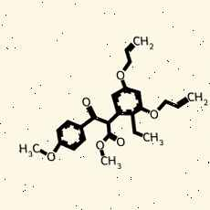 C=CCOc1cc(OCC=C)c(CC)c(C(C(=O)OC)C(=O)c2ccc(OC)cc2)c1